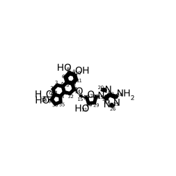 C[C@]12CCC3c4cc(O)c(O)cc4C(OC[C@H]4O[C@@H](n5cnc6c(N)ncnc65)C[C@@H]4O)CC3C1CC[C@@H]2O